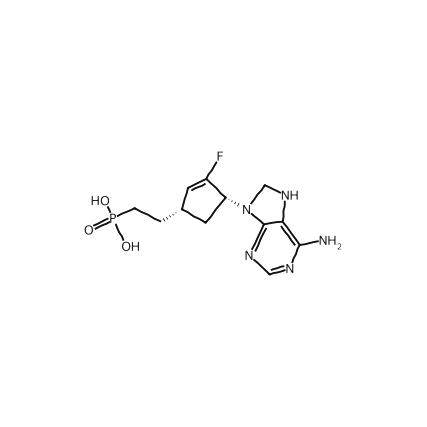 Nc1ncnc2c1NCN2[C@@H]1C[C@H](CCP(=O)(O)O)C=C1F